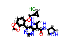 Cc1[nH]c2c(-c3c(OCC4CC4)ccc4c3OCO4)ncnc2c1C(=O)N[C@@H]1CCNC1.Cl